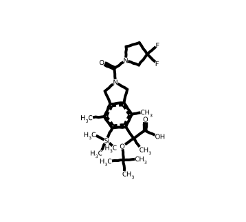 Cc1c2c(c(C)c([Si](C)(C)C)c1C(C)(OC(C)(C)C)C(=O)O)CN(C(=O)N1CCC(F)(F)C1)C2